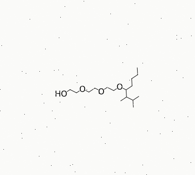 CCCCC(OCCOCCOCCO)C(C)C(C)C